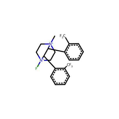 C[N+]12CC[N+](F)(CC1)C(c1ccccc1C(F)(F)F)C2c1ccccc1C(F)(F)F